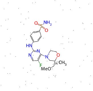 COC[C@@]1(C)CN(c2nc(Nc3ccc(S(N)(=O)=O)cc3)ncc2F)CCO1